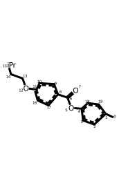 Cc1ccc(OC(=O)c2ccc(OCCC(C)C)cc2)cc1